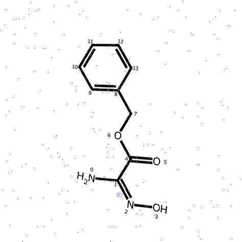 N/C(=N/O)C(=O)OCc1ccccc1